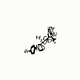 CC(C)c1ccc(N2CCO[C@H](COC(C)(C)C3CN(C(C)C)NC3C3CC3)C2)cc1